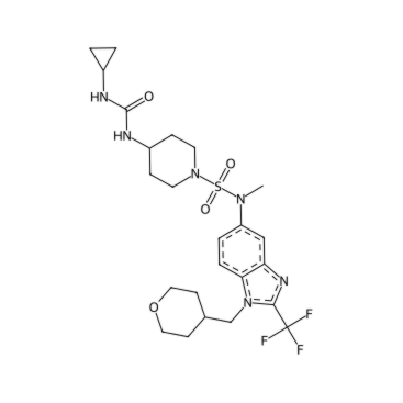 CN(c1ccc2c(c1)nc(C(F)(F)F)n2CC1CCOCC1)S(=O)(=O)N1CCC(NC(=O)NC2CC2)CC1